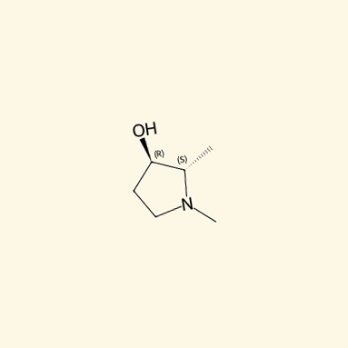 C[C@H]1[C@H](O)CCN1C